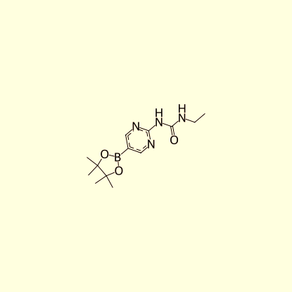 CCNC(=O)Nc1ncc(B2OC(C)(C)C(C)(C)O2)cn1